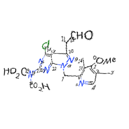 COc1c(C)cnc(Cn2nc(CC=O)c3c(Cl)nc(N(C(=O)O)C(=O)O)nc32)c1C